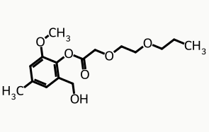 CCCOCCOCC(=O)Oc1c(CO)cc(C)cc1OC